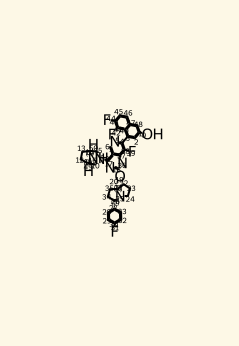 Oc1cc(-c2ncc3c(N4C[C@H]5CC[C@@H](C4)N5)nc(OC[C@]45CCCN4[C@H](c4ccc(F)cc4)CC5)nc3c2F)c2c(F)c(F)ccc2c1